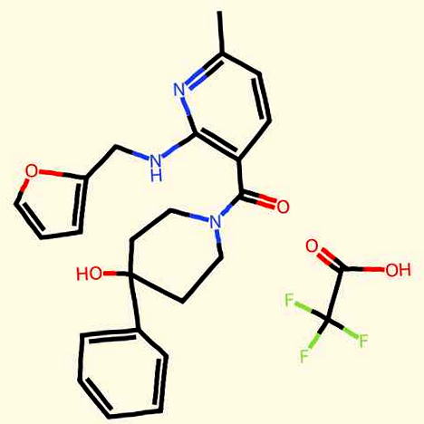 Cc1ccc(C(=O)N2CCC(O)(c3ccccc3)CC2)c(NCc2ccco2)n1.O=C(O)C(F)(F)F